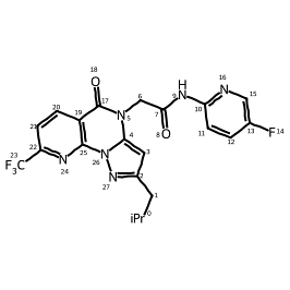 CC(C)Cc1cc2n(CC(=O)Nc3ccc(F)cn3)c(=O)c3ccc(C(F)(F)F)nc3n2n1